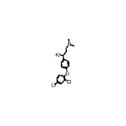 CN(C)CCC(O)c1ccc(Oc2ccc(Cl)cc2Cl)cc1